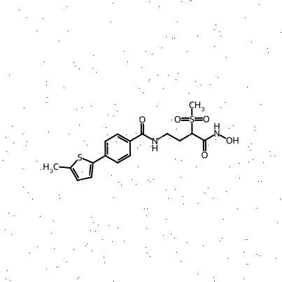 Cc1ccc(-c2ccc(C(=O)NCCC(C(=O)NO)S(C)(=O)=O)cc2)s1